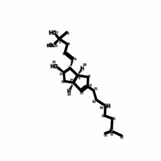 CCCC[C@](C)(O)C/C=C/[C@@H]1[C@H]2CC(CCNCCN(C)C)=C[C@H]2C[C@H]1O